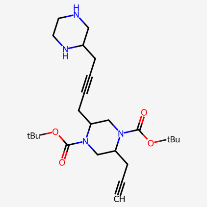 C#CCC1CN(C(=O)OC(C)(C)C)C(CC#CCC2CNCCN2)CN1C(=O)OC(C)(C)C